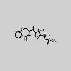 CC(O)(C(=O)NCC(F)(F)C(F)(F)F)C(=O)NC1CNc2ccccc2NC1=O